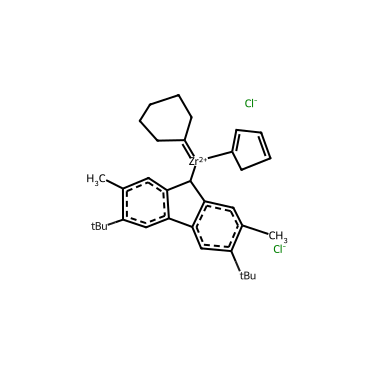 Cc1cc2c(cc1C(C)(C)C)-c1cc(C(C)(C)C)c(C)cc1[CH]2[Zr+2]([C]1=CC=CC1)=[C]1CCCCC1.[Cl-].[Cl-]